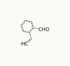 [CH]=Cc1ccccc1C=O